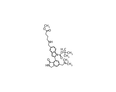 COC(=O)CCCNCc1ccc2c(c1)cc(-c1cc(CN(C)C)cc3c1C(=O)NC3)n2C(=O)OC(C)(C)C